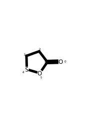 O=C1CCSO1